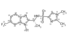 CCn1c([C@@H](C)NS(=O)(=O)c2cn(C)c(C)n2)nc2ccc(C(F)(F)F)cc21